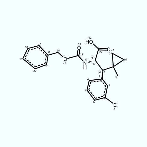 CC1([C@@H](c2cccc(Cl)c2)[C@H](NC(=O)OCc2ccccc2)C(=O)O)CC1